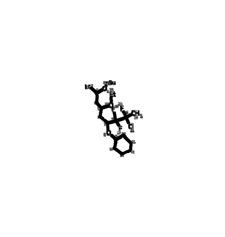 CCCCOC(CC)CC(CC(OC1CCCCC1)C(F)(F)C(C)(F)Cl)OCC